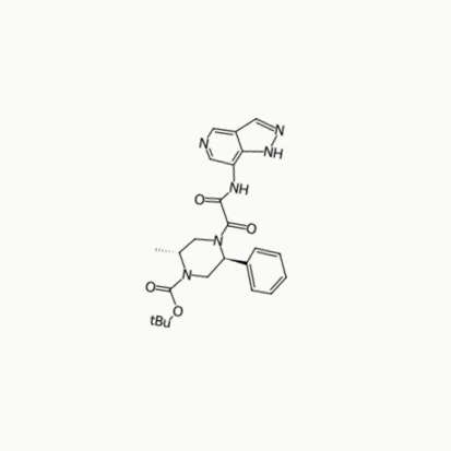 C[C@@H]1CN(C(=O)C(=O)Nc2cncc3cn[nH]c23)[C@@H](c2ccccc2)CN1C(=O)OC(C)(C)C